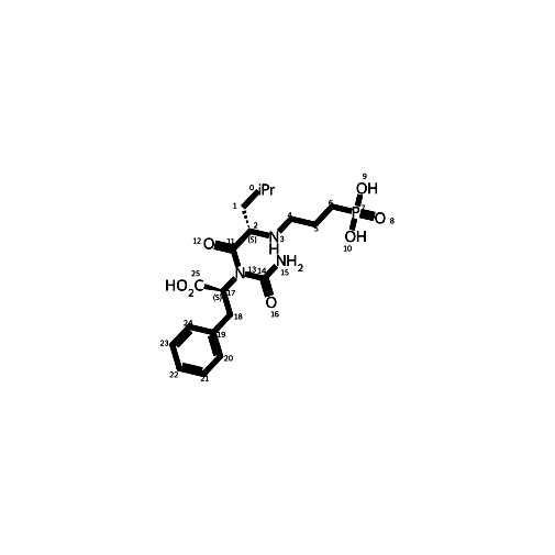 CC(C)C[C@H](NCCCP(=O)(O)O)C(=O)N(C(N)=O)[C@@H](Cc1ccccc1)C(=O)O